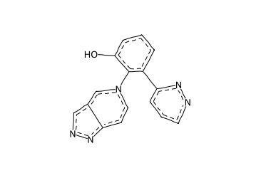 Oc1cccc(-c2cccnn2)c1-n1ccc2nncc-2c1